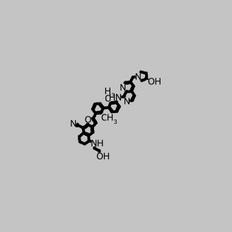 Cc1c(Nc2nccc3cc(CN4CC[C@@H](O)C4)cnc23)cccc1-c1cccc(-c2cc3cc4c(c(C#N)c3o2)CCCC4NCCO)c1C